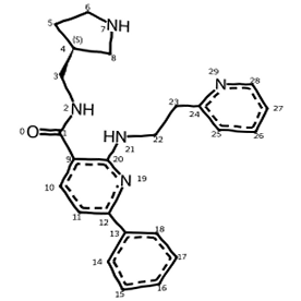 O=C(NC[C@H]1CCNC1)c1ccc(-c2ccccc2)nc1NCCc1ccccn1